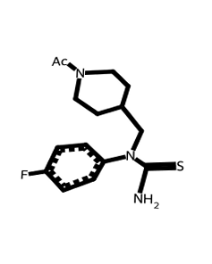 CC(=O)N1CCC(CN(C(N)=S)c2ccc(F)cc2)CC1